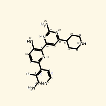 CN/C=C\C(=C(\F)CN)c1ccc(O)c(-c2cc(C3CCNCC3)nc(N)n2)n1